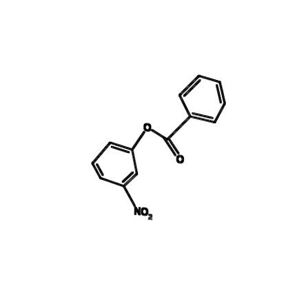 O=C(Oc1cccc([N+](=O)[O-])c1)c1ccccc1